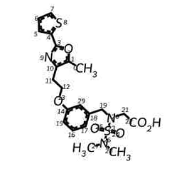 Cc1oc(-c2cccs2)nc1CCOc1cccc(CN(CC(=O)O)S(=O)(=O)N(C)C)c1